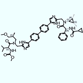 COC[C@@H](C)CN(Cc1ncc(-c2ccc(-c3ccc(-c4cnc(CN(C(=O)[C@H](NC(=O)C5CC5)c5ccccc5)[C@@H]5[C@H](C)[C@@H]5C)[nH]4)cc3)cc2)[nH]1)C(=O)[C@@H](NC(=O)OC)C(C)C